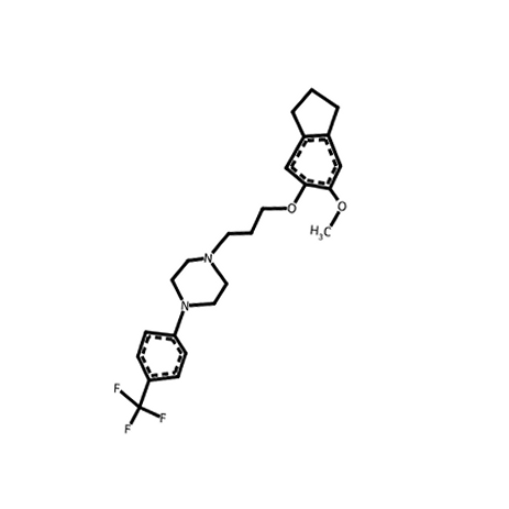 COc1cc2c(cc1OCCCN1CCN(c3ccc(C(F)(F)F)cc3)CC1)CCC2